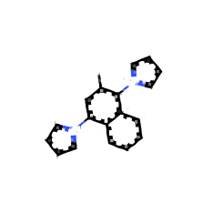 CC(C)(C)c1cc(-n2cccc2)c2ccccc2c1-n1cccc1